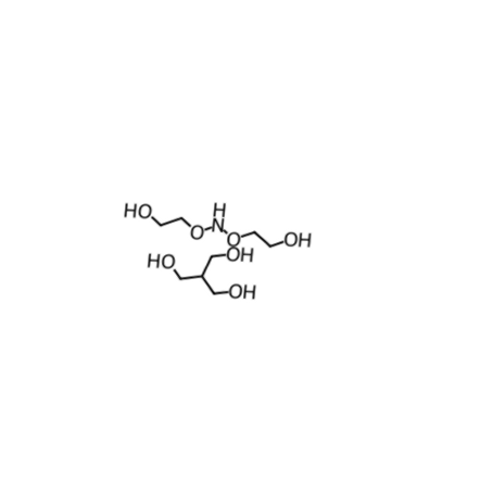 OCC(CO)CO.OCCONOCCO